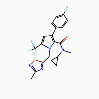 Cc1noc(Cn2c(C(F)(F)F)cc(-c3ccc(F)cc3)c2C(=O)N(C)C2CC2)n1